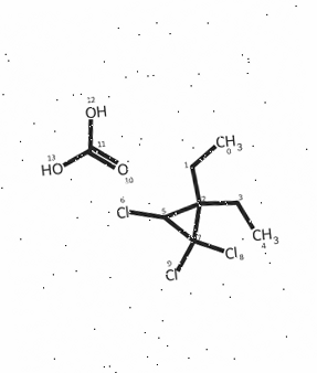 CCC1(CC)C(Cl)C1(Cl)Cl.O=C(O)O